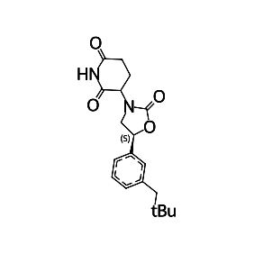 CC(C)(C)Cc1cccc([C@H]2CN(C3CCC(=O)NC3=O)C(=O)O2)c1